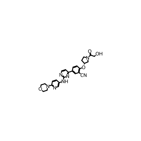 N#Cc1cc(-c2ccnc(Nc3ccc(N4CCOCC4)nc3)n2)ccc1O[C@@H]1CCN(C(=O)CO)C1